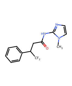 Cn1ccnc1NC(=O)CC(c1ccccc1)C(F)(F)F